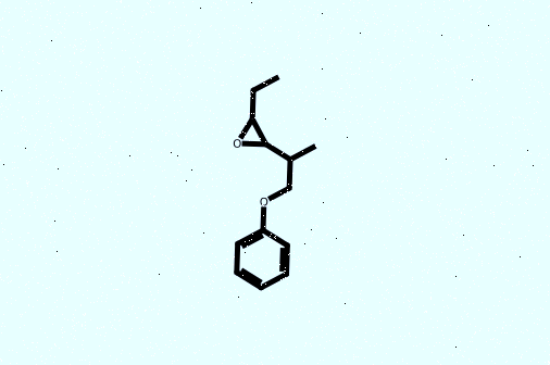 CCC1OC1C(C)COc1ccccc1